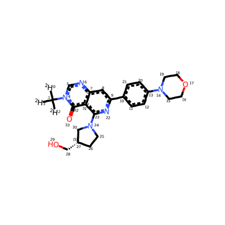 [2H]C([2H])([2H])n1cnc2cc(-c3ccc(N4CCOCC4)cc3)nc(N3CC[C@H](CO)C3)c2c1=O